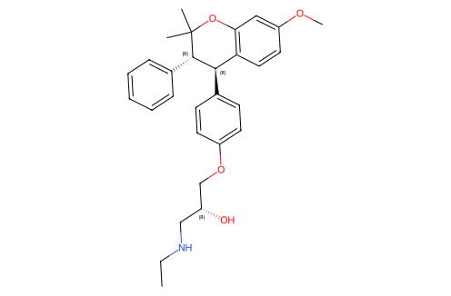 CCNC[C@@H](O)COc1ccc([C@@H]2c3ccc(OC)cc3OC(C)(C)[C@H]2c2ccccc2)cc1